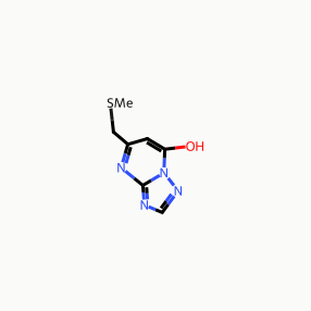 CSCc1cc(O)n2ncnc2n1